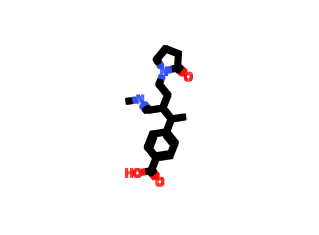 CN=CC(CCN1CCCC1=O)C(C)c1ccc(C(=O)O)cc1